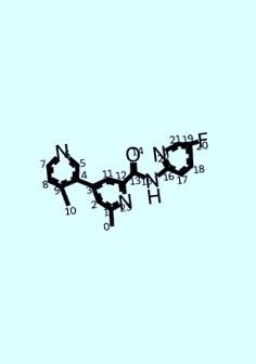 Cc1cc(-c2cnccc2C)cc(C(=O)Nc2ccc(F)cn2)n1